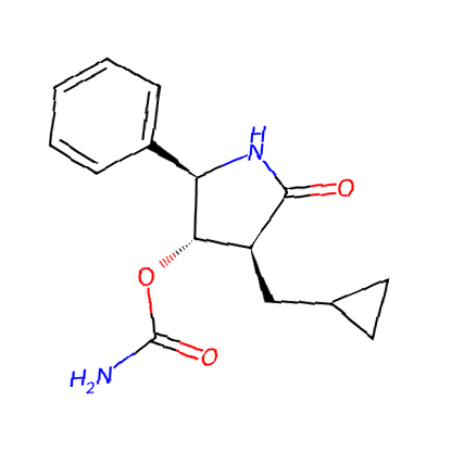 NC(=O)O[C@H]1[C@H](CC2CC2)C(=O)N[C@@H]1c1ccccc1